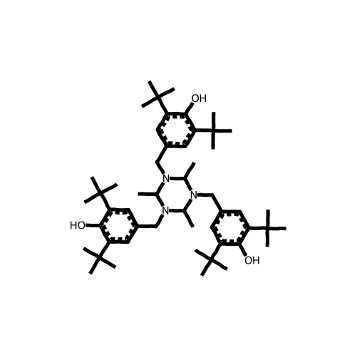 CC1N(Cc2cc(C(C)(C)C)c(O)c(C(C)(C)C)c2)C(C)N(Cc2cc(C(C)(C)C)c(O)c(C(C)(C)C)c2)C(C)N1Cc1cc(C(C)(C)C)c(O)c(C(C)(C)C)c1